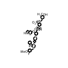 COc1ccc(CN2CCN(C3CC4(CCN(c5ccc(C(=O)NS(=O)(=O)c6ccc(NCC7CCC(C)(O)CC7)c([N+](=O)[O-])c6)c(Oc6cnc7[nH]ccc7c6)c5)CC4)C3)C(c3ccccc3C(C)C)C2)cc1F